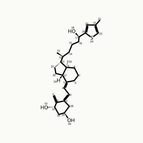 C=C1/C(=C\C=C2/CCC[C@]3(C)[C@@H]([C@@H](C)CCC[C@@H](O)c4cc(C)cs4)CC[C@@H]23)C[C@@H](O)C[C@@H]1O